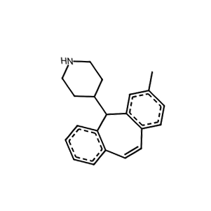 Cc1ccc2c(c1)C(C1CCNCC1)c1ccccc1C=C2